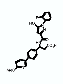 COc1ccc(-c2ccc(C(CC(=O)O)NC(=O)c3cc(O)n(-c4ccccc4F)n3)cc2)cn1